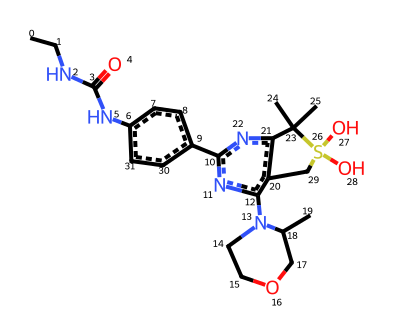 CCNC(=O)Nc1ccc(-c2nc(N3CCOCC3C)c3c(n2)C(C)(C)S(O)(O)C3)cc1